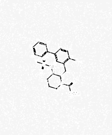 COC(=O)N1CCC[C@@H](NS(C)(=O)=O)[C@H]1Cc1cc(-c2ccccc2)ccc1F